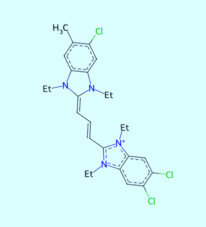 CCN1/C(=C/C=C/c2n(CC)c3cc(Cl)c(Cl)cc3[n+]2CC)N(CC)c2cc(Cl)c(C)cc21